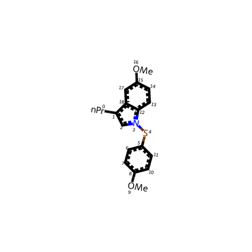 CCCc1cn(Sc2ccc(OC)cc2)c2ccc(OC)cc12